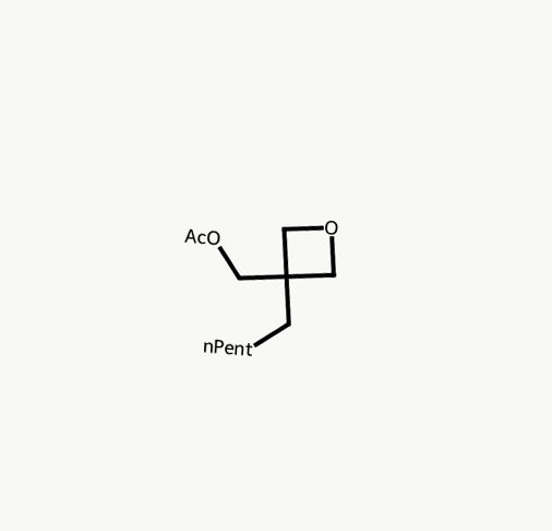 CCCCCCC1(COC(C)=O)COC1